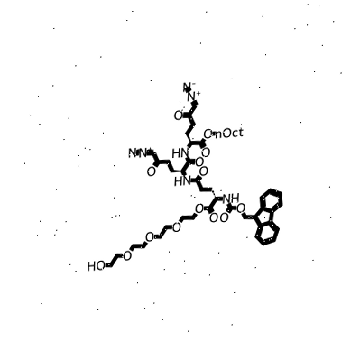 CCCCCCCCOC(=O)[C@H](CCC(=O)C=[N+]=[N-])NC(=O)[C@H](CCC(=O)C=[N+]=[N-])NC(=O)CC[C@H](NC(=O)OCC1c2ccccc2-c2ccccc21)C(=O)OCCOCCOCCOCCO